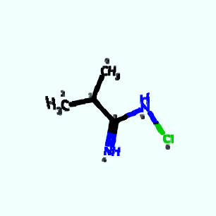 CC(C)C(=N)NCl